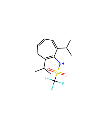 CC(C)C1=CC=CCC(C(C)C)=C1NS(=O)(=O)C(F)(F)F